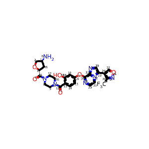 N[C@@H]1CO[C@@H](C(=O)N2CCN(C(=O)c3ccc(Oc4nccn5c(-c6conc6C(F)(F)F)cnc45)cc3O)CC2)C1